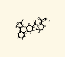 Cc1nnc(-c2ccncc2N2CCC(C(=O)N3C(C(N)=O)CCC3(C)C)CC2)s1